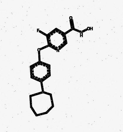 O=C(NO)c1cnc(Oc2ccc(C3CCCCCC3)cc2)c(F)c1